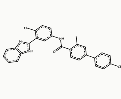 Cc1cc(-c2ccc(C#N)cc2)ccc1C(=O)Nc1ccc(Cl)c(-c2nc3ccccc3[nH]2)c1